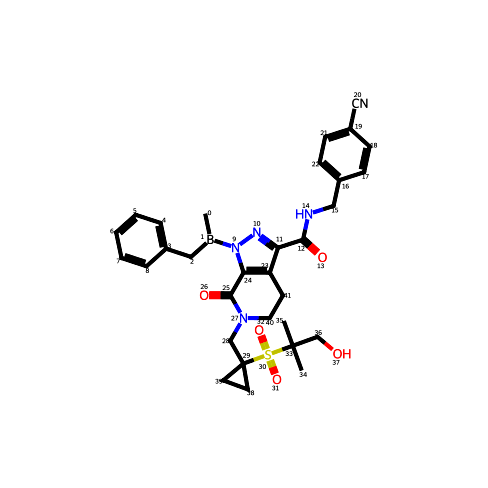 CB(Cc1ccccc1)n1nc(C(=O)NCc2ccc(C#N)cc2)c2c1C(=O)N(CC1(S(=O)(=O)C(C)(C)CO)CC1)CC2